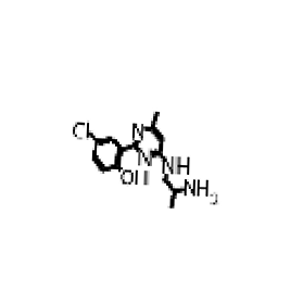 Cc1cc(NCC(C)N)nc(-c2cc(Cl)ccc2O)n1